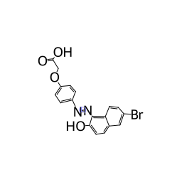 O=C(O)COc1ccc(/N=N/c2c(O)ccc3cc(Br)ccc23)cc1